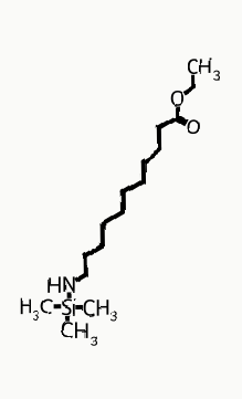 CCOC(=O)CCCCCCCCCCN[Si](C)(C)C